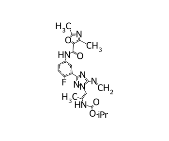 C=Nc1nc(-c2cc(NC(=O)c3oc(C)nc3C)ccc2F)nn1/C=C(\C)NC(=O)OC(C)C